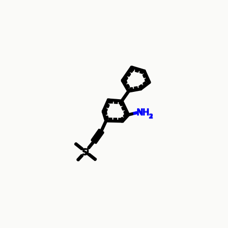 C[Si](C)(C)C#Cc1ccc(-c2ccccc2)c(N)c1